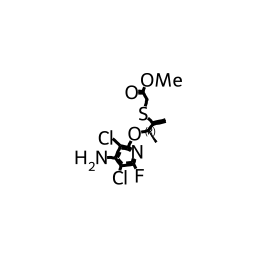 C=C(SCC(=O)OC)[C@@H](C)Oc1nc(F)c(Cl)c(N)c1Cl